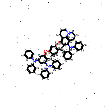 c1ccc(N(c2ccccc2)c2cc3c4c(c2)N(c2ccccc2)c2ccccc2B4c2cc4c(cc2O3)Oc2c3c5c(c6c2B4c2ccccc2N6c2ccccc2)CCCN5CCC3)cc1